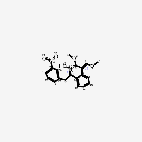 CO/C=C(/C(=O)OC)c1ccccc1/C(Cc1cccc([N+](=O)[O-])c1)=N/O